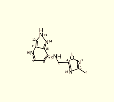 Cc1noc(CNc2ccnc3c[nH]nc23)n1